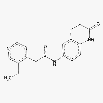 CCc1cnccc1CC(=O)Nc1ccc2c(c1)CCC(=O)N2